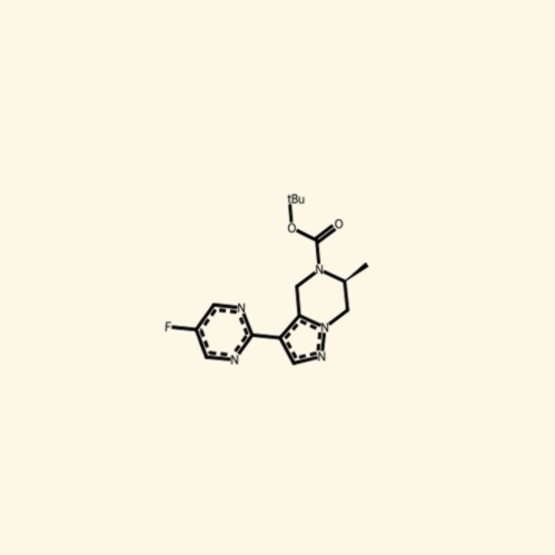 C[C@H]1Cn2ncc(-c3ncc(F)cn3)c2CN1C(=O)OC(C)(C)C